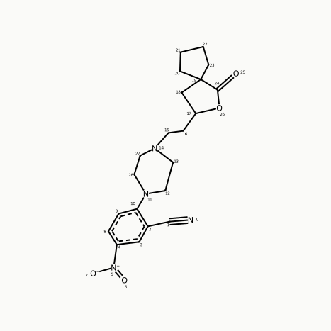 N#Cc1cc([N+](=O)[O-])ccc1N1CCN(CCC2CC3(CCCC3)C(=O)O2)CC1